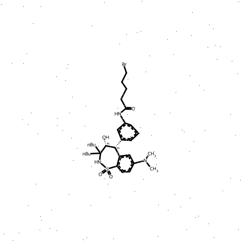 CCCCC1(CCCC)NS(=O)(=O)c2ccc(N(C)C)cc2[C@@H](c2cccc(NC(=O)CCCCBr)c2)[C@H]1O